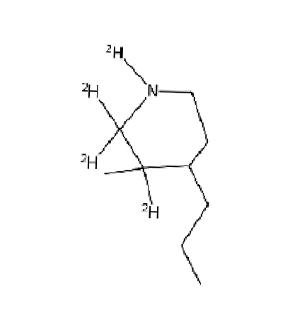 [2H]N1CCC(CCC)C([2H])(C)C1([2H])[2H]